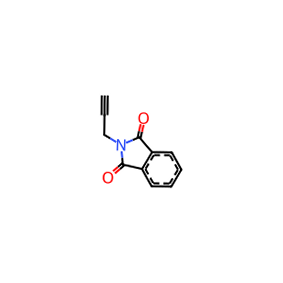 C#CCN1C(=O)c2ccccc2C1=O